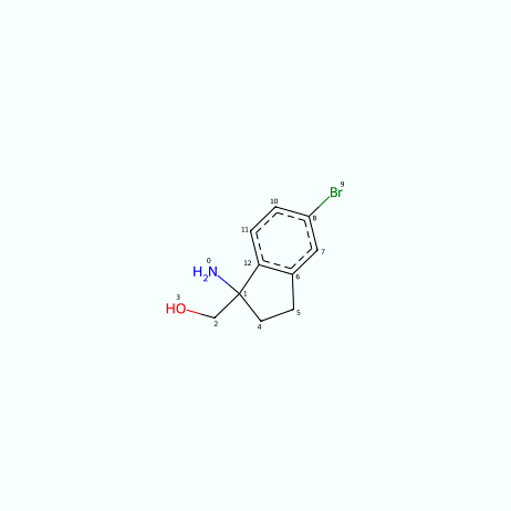 NC1(CO)CCc2cc(Br)ccc21